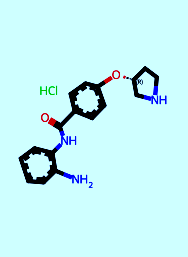 Cl.Nc1ccccc1NC(=O)c1ccc(O[C@@H]2CCNC2)cc1